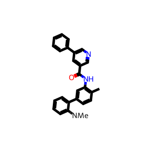 CNc1ccccc1-c1ccc(C)c(NC(=O)c2cncc(-c3ccccc3)c2)c1